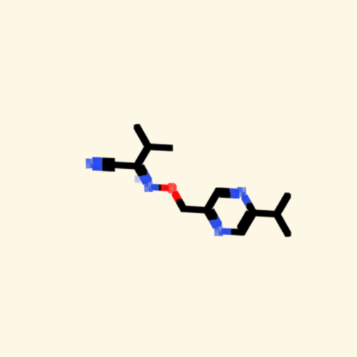 CC(C)/C(C#N)=N\OCc1cnc(C(C)C)cn1